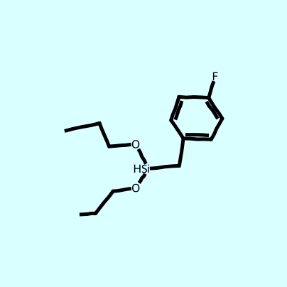 CCCO[SiH](Cc1ccc(F)cc1)OCCC